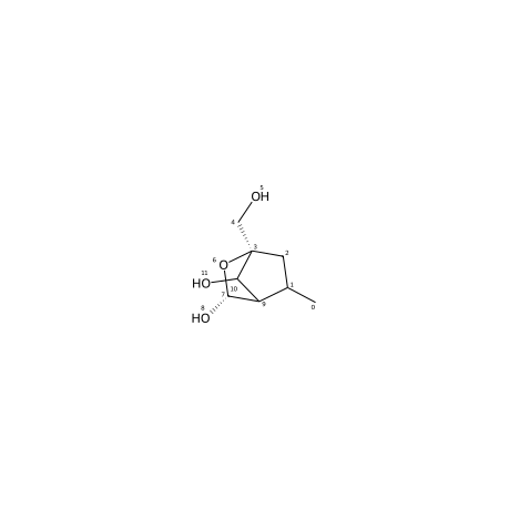 CC1C[C@]2(CO)O[C@@H](O)C1C2O